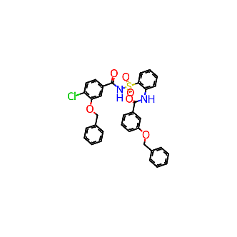 O=C(Nc1ccccc1S(=O)(=O)NC(=O)c1ccc(Cl)c(OCc2ccccc2)c1)c1cccc(OCc2ccccc2)c1